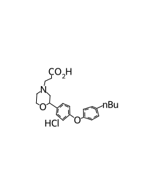 CCCCc1ccc(Oc2ccc(C3CN(CCC(=O)O)CCO3)cc2)cc1.Cl